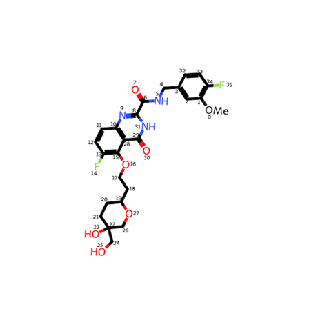 COc1cc(CNC(=O)c2nc3ccc(F)c(OCCC4CCC(O)(CO)CO4)c3c(=O)[nH]2)ccc1F